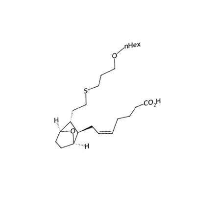 CCCCCCOCCCSCC[C@@H]1[C@@H](C/C=C\CCCC(=O)O)[C@H]2CC[C@@H]1O2